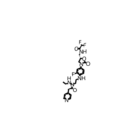 CCNN(CCNc1ccc(N2C[C@H](CNC(=O)C(F)F)OC2=O)cc1F)C(=O)Cc1ccncc1